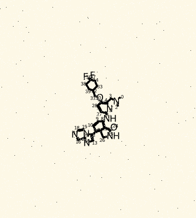 CN(C)Cc1nc(Nc2ccc(-c3cnc4cnccn34)c3c2C(=O)NC3)ccc1OCC1CCC(F)(F)CC1